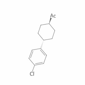 CC(=O)[C@H]1CC[C@H](c2ccc(Cl)cc2)CC1